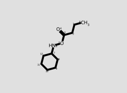 CCCC(=O)ONC1CCCCC1